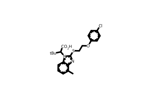 Cc1cccc2c1nc(SCCOc1ccc(Cl)cc1)n2C(C(=O)O)C(C)(C)C